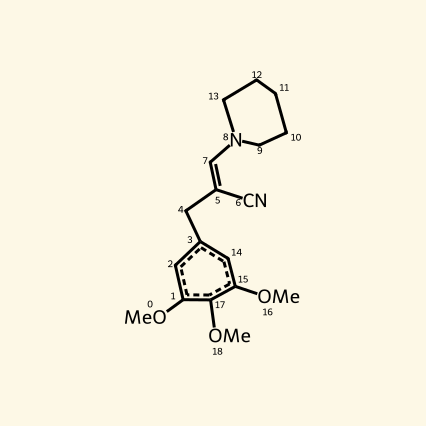 COc1cc(C/C(C#N)=C/N2CCCCC2)cc(OC)c1OC